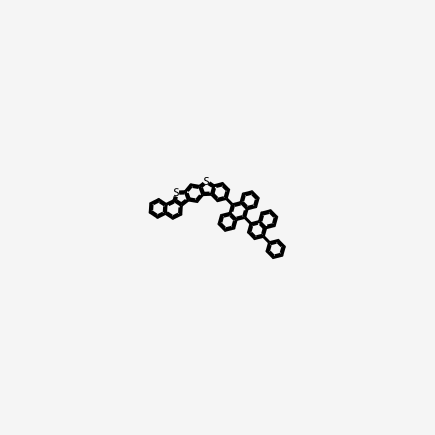 c1ccc(-c2ccc(-c3c4ccccc4c(-c4ccc5sc6cc7sc8c9ccccc9ccc8c7cc6c5c4)c4ccccc34)c3ccccc23)cc1